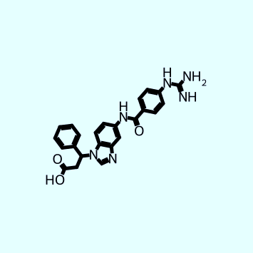 N=C(N)Nc1ccc(C(=O)Nc2ccc3c(c2)ncn3C(CC(=O)O)c2ccccc2)cc1